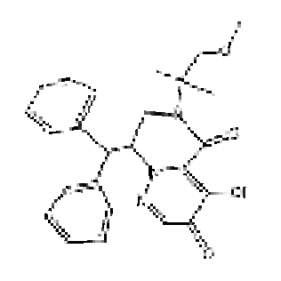 COCC(C)(C)N1CC(C(c2ccccc2)c2ccccc2)n2ncc(=O)c(O)c2C1=O